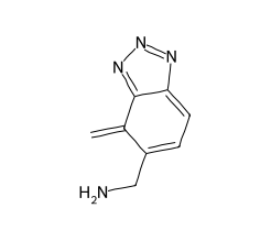 C=c1c(CN)ccc2c1=NN=N2